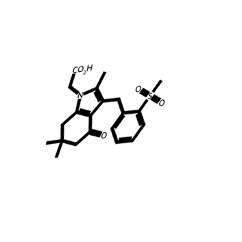 Cc1c(Cc2ccccc2S(C)(=O)=O)c2c(n1CC(=O)O)CC(C)(C)CC2=O